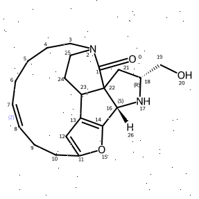 O=C1N2CCCC/C=C\CCc3cc4c(o3)[C@H]3N[C@@H](CO)CC13C4CC2